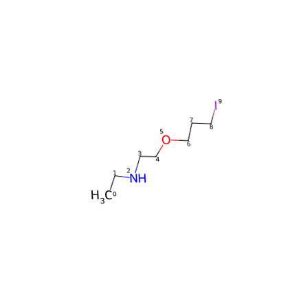 CCNCCOCCCI